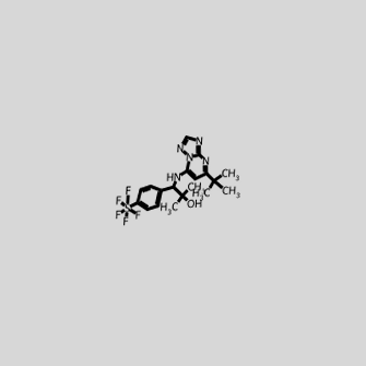 CC(C)(C)c1cc(NC(c2ccc(S(F)(F)(F)(F)F)cc2)C(C)(C)O)n2ncnc2n1